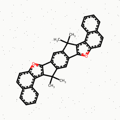 CC1(C)c2cc3c(cc2-c2oc4ccc5ccccc5c4c21)C(C)(C)c1c-3oc2ccc3ccccc3c12